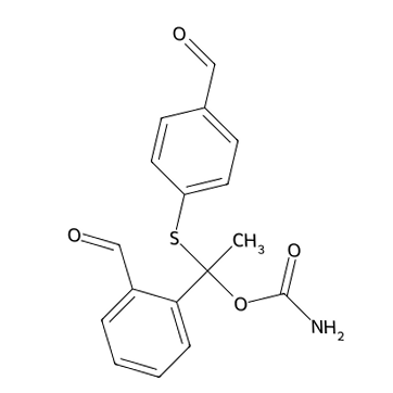 CC(OC(N)=O)(Sc1ccc(C=O)cc1)c1ccccc1C=O